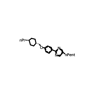 CCCCCc1cnc(-c2ccc(OC[C@H]3CC[C@H](CCC)CC3)cc2)nc1